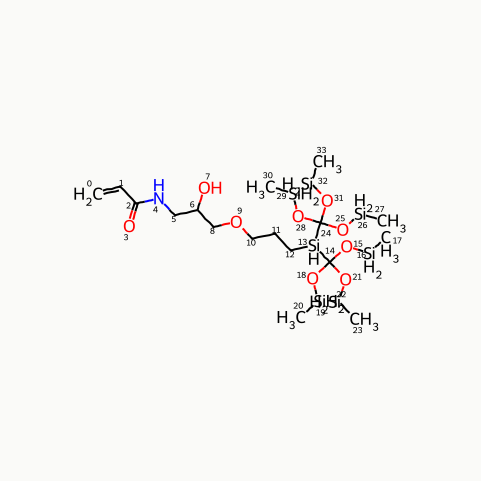 C=CC(=O)NCC(O)COCCC[SiH](C(O[SiH2]C)(O[SiH2]C)O[SiH2]C)C(O[SiH2]C)(O[SiH2]C)O[SiH2]C